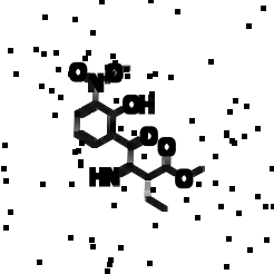 CC[C@H](C(=N)C(=O)c1cccc([N+](=O)[O-])c1O)C(=O)OC